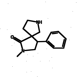 CN1CC(c2ccccc2)C2(CCNC2)C1=O